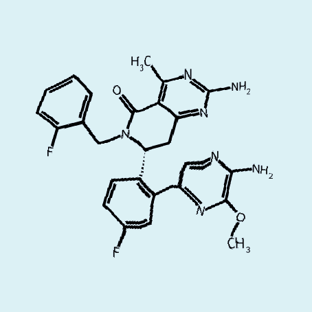 COc1nc(-c2cc(F)ccc2[C@H]2Cc3nc(N)nc(C)c3C(=O)N2Cc2ccccc2F)cnc1N